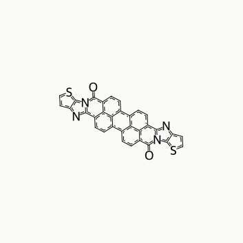 O=c1c2ccc3c4ccc5c6c(ccc(c7ccc(c2c37)c2nc3ccsc3n12)c46)c(=O)n1c5nc2ccsc21